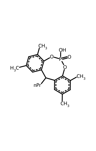 CCCC1c2cc(C)cc(C)c2OP(=O)(O)Oc2c(C)cc(C)cc21